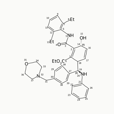 CCOC(=O)C1=C(C(=O)Nc2c(CC)cccc2CC)[C@H](O)C=CC1[C@@H](Nc1ccccc1)c1ccc(CN2CCOCC2)cc1